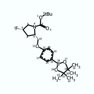 CC(C)(C)OC(=O)N1C[C@@H](F)C[C@H]1COc1ccc(B2OC(C)(C)C(C)(C)O2)cc1